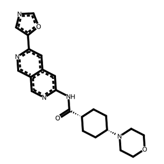 O=C(Nc1cc2cc(-c3cnco3)ncc2cn1)[C@H]1CC[C@@H](N2CCOCC2)CC1